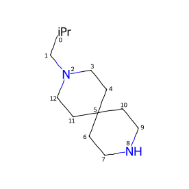 CC(C)CN1CCC2(CCNCC2)CC1